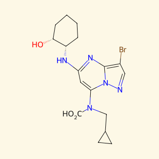 O=C(O)N(CC1CC1)c1cc(N[C@H]2CCCC[C@H]2O)nc2c(Br)cnn12